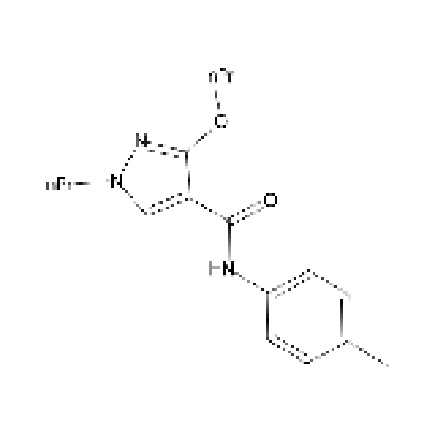 CCCOc1nn(CCC)cc1C(=O)Nc1ccc(C)cc1